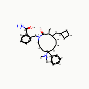 CC1C(=O)N(Cc2ccccc2C(N)=O)CCC[C@](c2ccccc2)(N(C)C)CCCC1CC1CCC1